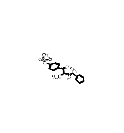 CC(N[C@H](C)c1ccccc1)C(=O)c1ccc(OS(C)(=O)=O)cc1